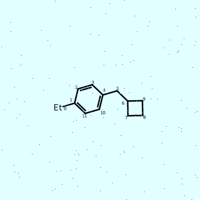 CCc1ccc(CC2CCC2)cc1